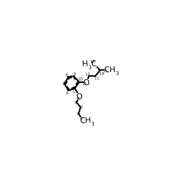 CCCCOc1ccccc1OCCC(C)C